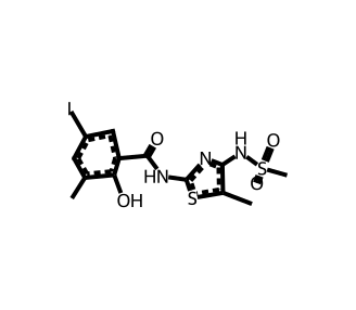 Cc1cc(I)cc(C(=O)Nc2nc(NS(C)(=O)=O)c(C)s2)c1O